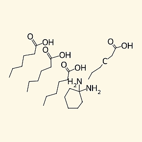 CCCCCC(=O)O.CCCCCC(=O)O.CCCCCC(=O)O.CCCCCC(=O)O.NC1(N)CCCCC1